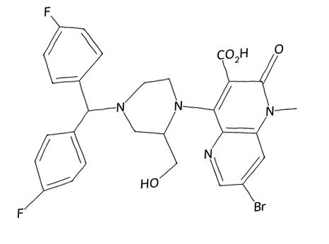 Cn1c(=O)c(C(=O)O)c(N2CCN(C(c3ccc(F)cc3)c3ccc(F)cc3)CC2CO)c2ncc(Br)cc21